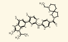 CCN1CCCC2(CCN(C(=O)c3ccc(Nc4ncc(F)c(-c5cc(F)c6nc(C)n(C(C)C)c6c5)n4)nc3)C2)C1